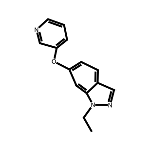 CCn1n[c]c2ccc(Oc3cccnc3)cc21